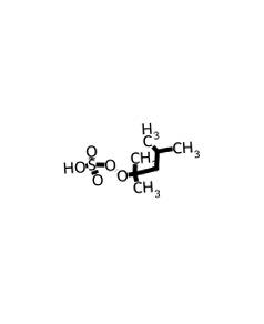 CC(C)CC(C)(C)OOS(=O)(=O)O